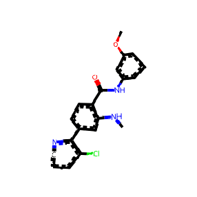 CNc1cc(-c2ncccc2Cl)ccc1C(=O)Nc1cccc(OC)c1